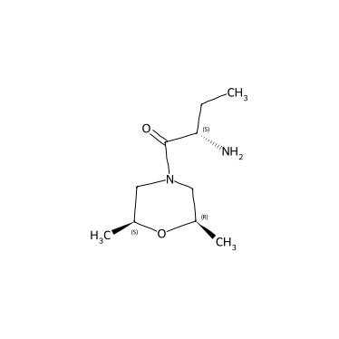 CC[C@H](N)C(=O)N1C[C@@H](C)O[C@@H](C)C1